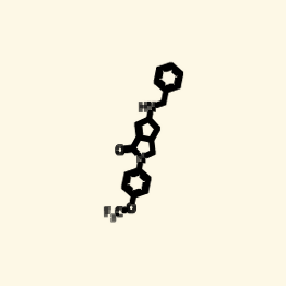 O=C1C2=CC(NCc3ccccc3)CC2CN1c1ccc(OC(F)(F)F)cc1